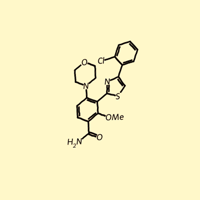 COc1c(C(N)=O)ccc(N2CCOCC2)c1-c1nc(-c2ccccc2Cl)cs1